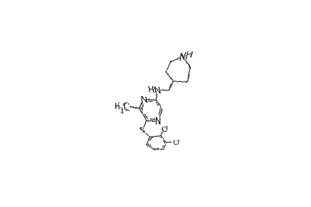 Cc1nc(NCC2CCNCC2)cnc1Sc1cccc(Cl)c1Cl